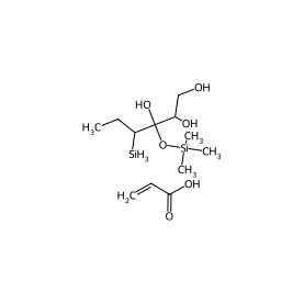 C=CC(=O)O.CCC([SiH3])C(O)(O[Si](C)(C)C)C(O)CO